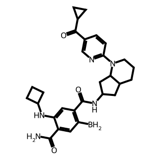 Bc1cc(C(N)=O)c(NC2CCC2)cc1C(=O)NC1CC2CCCN(c3ccc(C(=O)C4CC4)cn3)C2C1